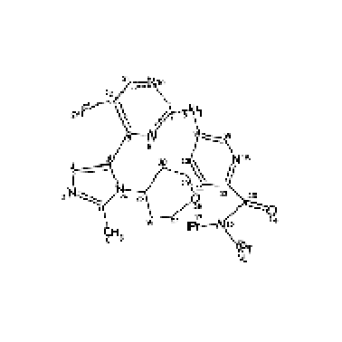 Cc1ncc(-c2nc(Nc3ccc(C(=O)N(C(C)C)C(C)C)nc3)ncc2F)n1C1CCOCC1